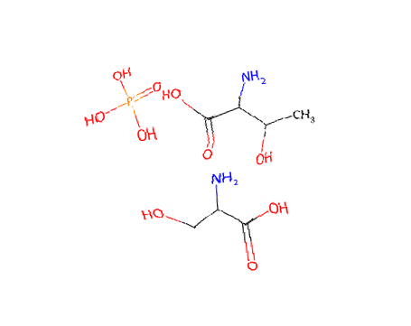 CC(O)C(N)C(=O)O.NC(CO)C(=O)O.O=P(O)(O)O